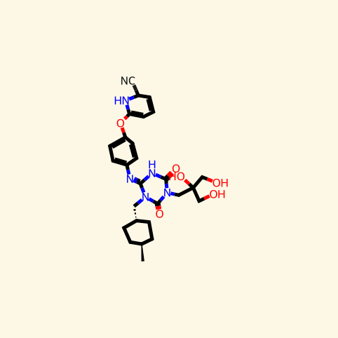 C[C@H]1CC[C@H](Cn2c(=O)n(CC(O)(CO)CO)c(=O)[nH]/c2=N\c2ccc(OC3=CC=CC(C#N)N3)cc2)CC1